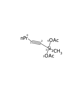 CCCC#C[Si](C)(OC(C)=O)OC(C)=O